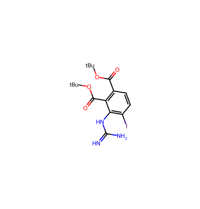 CC(C)(C)OC(=O)c1ccc(I)c(NC(=N)N)c1C(=O)OC(C)(C)C